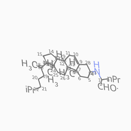 CCCC([C]=O)N[C@H]1CC[C@@]2(C)C(=CC[C@H]3[C@@H]4CC[C@H]([C@H](C)CCCC(C)C)[C@@]4(C)CC[C@@H]32)C1